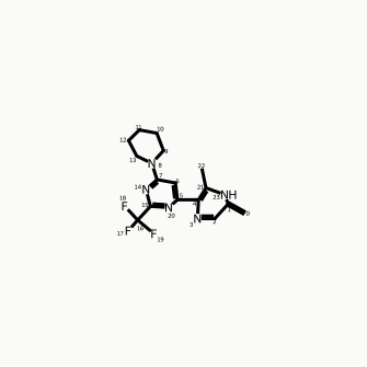 C=C1C=NC(c2cc(N3CCCCC3)nc(C(F)(F)F)n2)=C(C)N1